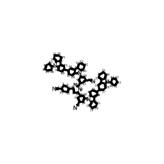 N#Cc1ccc(-c2cc(-c3cc(C#N)cc(-n4c5ccccc5c5cc(-c6ccc7c(c6)c6ccccc6n7-c6ccccc6)ccc54)c3)nc(-c3cc(C#N)cc(-n4c5ccccc5c5cc(-c6ccc7c(c6)c6ccccc6n7-c6ccccc6)ccc54)c3)n2)cc1